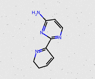 Nc1ccnc(C2=NCCC=C2)n1